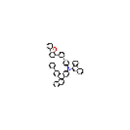 c1ccc(-c2ccc(-c3c(-c4ccc(N(c5ccc(-c6cccc(-c7cccc8c7oc7ccccc78)c6)cc5)c5cc6ccccc6c6ccccc56)cc4)ccc4ccccc34)cc2)cc1